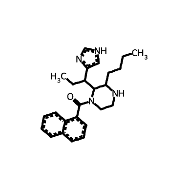 CCCCC1NCCN(C(=O)c2cccc3ccccc23)C1C(CC)c1c[nH]cn1